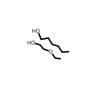 CCCCCCO.CCOCCO